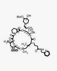 CO[C@H]1C[C@@H](C)C/C(C)=C/[C@@H](CCCC(=O)NCc2ccccn2)C(=O)C[C@H](O)[C@@H](C)[C@@H](/C(C)=C/[C@@H]2CC[C@@H](O)[C@H](OC)C2)OC(=O)[C@@H]2CCCCN2C(=O)C(=O)[C@]2(O)O[C@H]1[C@@H](OC)C[C@H]2C